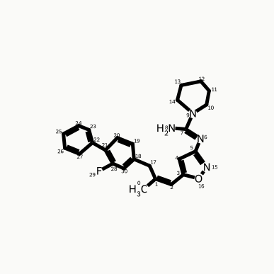 CC(=Cc1cc(N=C(N)N2CCCCC2)no1)Cc1ccc(-c2ccccc2)c(F)c1